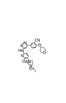 COc1nc(Nc2cc(-c3ccc(OC4CCOCC4)c(C#N)c3)ncn2)ccc1C1CCN(C)C1